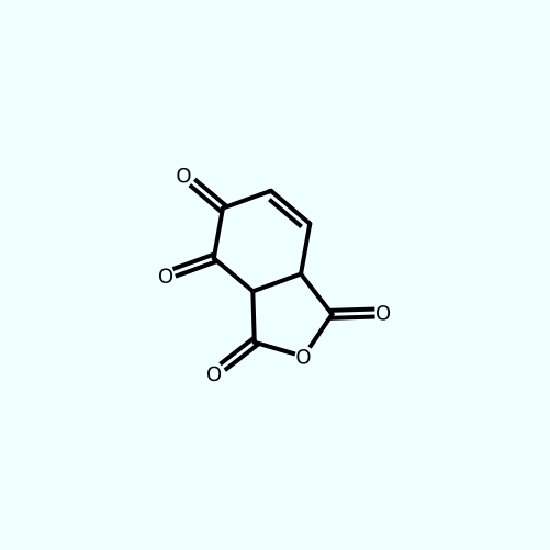 O=C1C=CC2C(=O)OC(=O)C2C1=O